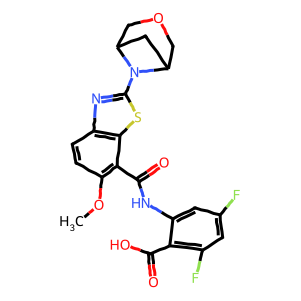 COc1ccc2nc(N3C4COCC3C4)sc2c1C(=O)Nc1cc(F)cc(F)c1C(=O)O